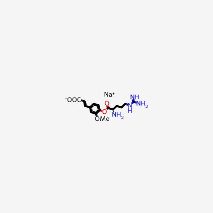 COc1cc(C=CC(=O)[O-])ccc1OC(=O)[C@@H](N)CCCNC(=N)N.[Na+]